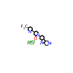 CN1CCc2c(c3ccc(-n4ccc(-c5ccc(C(F)(F)F)cn5)cc4=O)cc3n2C)C1.Cl.Cl